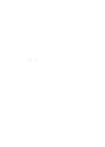 Cl.O=C(NCc1ccc(F)cc1F)c1csc(-c2ccccc2)n1